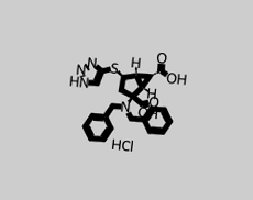 Cl.O=C(O)[C@H]1[C@H]2[C@@H]1[C@@](C(=O)O)(N(Cc1ccccc1)Cc1ccccc1)C[C@H]2Sc1c[nH]nn1